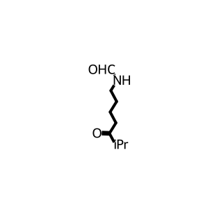 CC(C)C(=O)CCCCNC=O